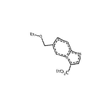 CCOCc1ccc2ncc(C(=O)OCC)n2c1